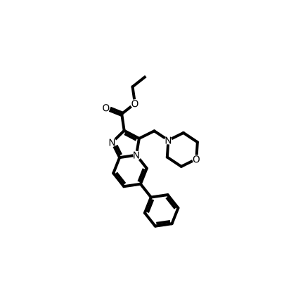 CCOC(=O)c1nc2ccc(-c3ccccc3)cn2c1CN1CCOCC1